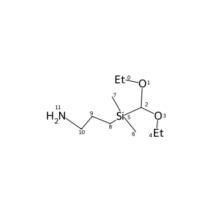 CCOC(OCC)[Si](C)(C)CCCN